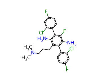 CN(C)CCCc1c(N)c(-c2ccc(F)cc2Cl)c(F)c(N)c1-c1ccc(F)cc1Cl